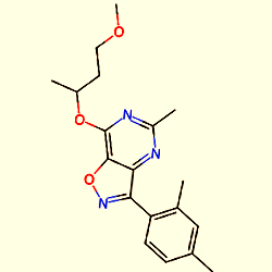 COCCC(C)Oc1nc(C)nc2c(-c3ccc(C)cc3C)noc12